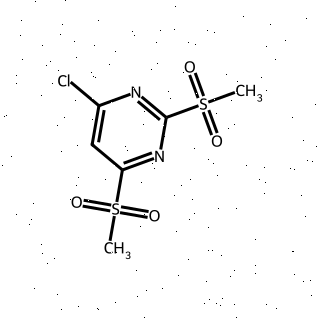 CS(=O)(=O)c1cc(Cl)nc(S(C)(=O)=O)n1